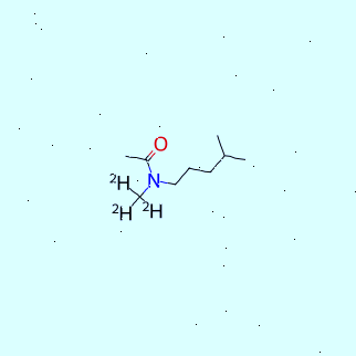 [2H]C([2H])([2H])N(CCCC(C)C)C(C)=O